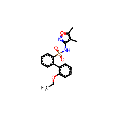 Cc1onc(NS(=O)(=O)c2ccccc2-c2ccccc2OCC(F)(F)F)c1C